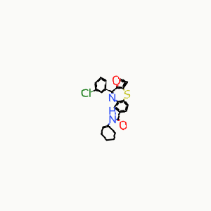 O=C(NC1CCCCC1)c1ccc2c(c1)N=C(c1cccc(Cl)c1)c1occc1S2